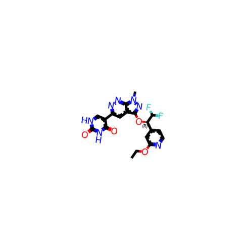 CCOc1cc([C@@H](Oc2nn(C)c3nnc(-c4c[nH]c(=O)[nH]c4=O)cc23)C(F)F)ccn1